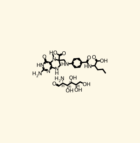 CCCC(NC(=O)c1ccc(NCC2(C(=O)O)CNc3nc(N)[nH]c(=O)c3N2C)cc1)C(=O)O.N[C@@H](C=O)[C@@H](O)[C@H](O)[C@H](O)CO